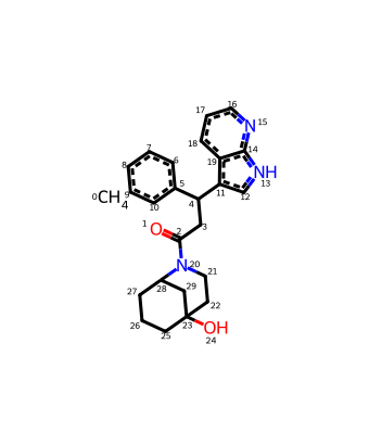 C.O=C(CC(c1ccccc1)c1c[nH]c2ncccc12)N1CCC2(O)CCCC1C2